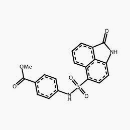 COC(=O)c1ccc(NS(=O)(=O)c2ccc3c4c(cccc24)C(=O)N3)cc1